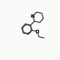 CCOc1ccccc1C1CCCC[N]1